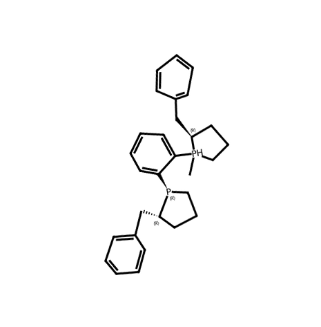 C[PH]1(c2ccccc2[P@@]2CCC[C@@H]2Cc2ccccc2)CCC[C@@H]1Cc1ccccc1